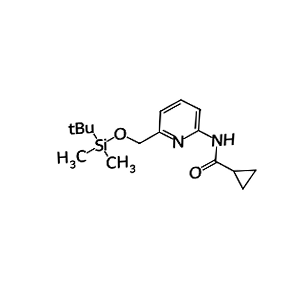 CC(C)(C)[Si](C)(C)OCc1cccc(NC(=O)C2CC2)n1